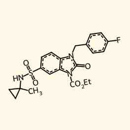 CCOC(=O)n1c(=O)n(Cc2ccc(F)cc2)c2ccc(S(=O)(=O)NC3(C)CC3)cc21